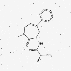 C[C@H](N)C(=O)N[C@H]1CC(c2ccccc2)=CCN(C)C1=O